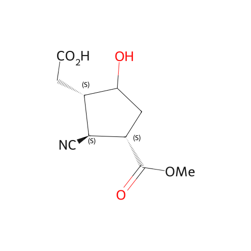 COC(=O)[C@H]1CC(O)[C@@H](CC(=O)O)[C@@H]1C#N